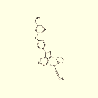 CC#CC(=O)N1CCC[C@H]1c1nc(-c2ccc(Oc3cccc(OC(C)C)c3)cc2)c2cnccn12